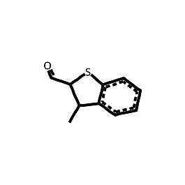 CC1c2ccccc2SC1C=O